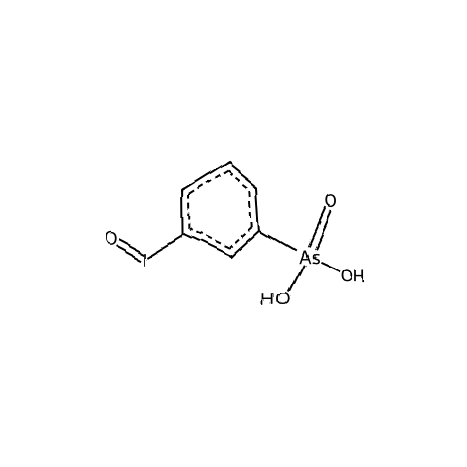 O=Ic1cccc([As](=O)(O)O)c1